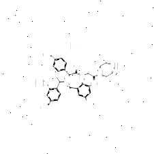 CC(c1ccc(Cl)cc1N)N1C(=O)c2cc(I)ccc2N(CC(=O)N2CCNCC2)C(=O)C1c1ccc(Cl)cc1.Cl